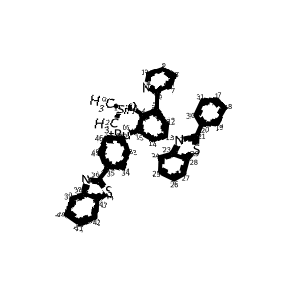 C[SiH](C)Oc1c(-c2ccccn2)cccc1C(C)(C)C.c1ccc(-c2nc3ccccc3s2)cc1.c1ccc(-c2nc3ccccc3s2)cc1